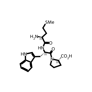 CSCC[C@H](N)C(=O)N[C@@H](Cc1c[nH]c2ccccc12)C(=O)N1CCC[C@H]1C(=O)O